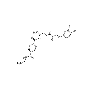 C=C(CCNC(=O)COc1ccc(Cl)c(F)c1)NC(=O)c1ccc(C(=O)NCC)cn1